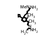 C=C/C(N)=N\C=C(/C)c1ccc(C2CCC2)c(C/C(C)=C/C=C(/N)NC)c1F